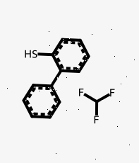 FC(F)F.Sc1ccccc1-c1ccccc1